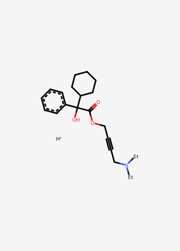 CCN(CC)CC#CCOC(=O)C(O)(c1ccccc1)C1CCCCC1.[H+]